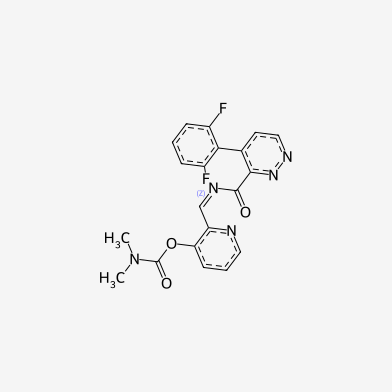 CN(C)C(=O)Oc1cccnc1/C=N\C(=O)c1nnccc1-c1c(F)cccc1F